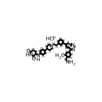 Cc1cc(-c2ncnn3cc(-c4cccc(CCN5CCC(c6ccc(NC7CCC(=O)NC7=O)cc6)CC5)c4)cc23)ccc1CN.Cl